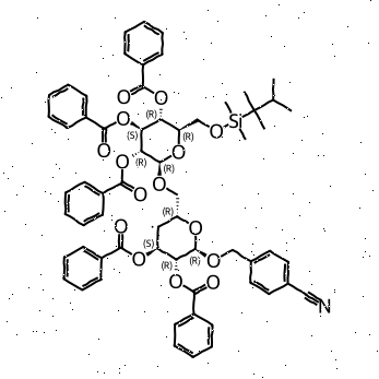 CC(C)C(C)(C)[Si](C)(C)OC[C@H]1O[C@@H](OC[C@H]2[CH][C@H](OC(=O)c3ccccc3)[C@@H](OC(=O)c3ccccc3)[C@H](OCc3ccc(C#N)cc3)O2)[C@H](OC(=O)c2ccccc2)[C@@H](OC(=O)c2ccccc2)[C@@H]1OC(=O)c1ccccc1